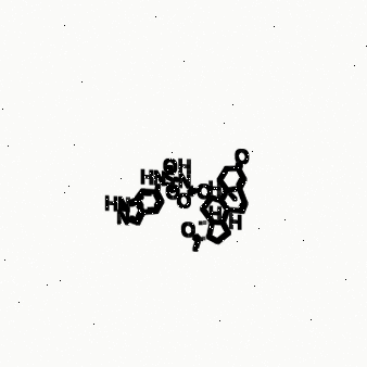 CC(=O)[C@H]1CC[C@H]2[C@@H]3C=CC4=CC(=O)CC[C@@]4(C)[C@@H]3[C@@H](OC(=O)NS(=O)(=O)Nc3ccc4cn[nH]c4c3)C[C@]12C